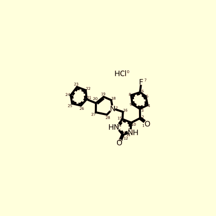 Cl.O=C(c1ccc(F)cc1)c1[nH]c(=O)[nH]c1CN1CC=C(c2ccccc2)CC1